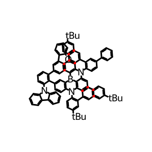 CC(C)(C)c1ccc(-c2ccc3c(c2)N(c2ccc(-c4ccccc4)cc2-c2ccccc2)c2cc(-c4ccc(C(C)(C)C)cc4)cc4c2B3c2cc(-c3c(-c5ccc6oc7ccccc7c6c5)cccc3-n3c5ccccc5c5ccccc53)ccc2N4c2ccc(C(C)(C)C)cc2-c2ccccc2)cc1